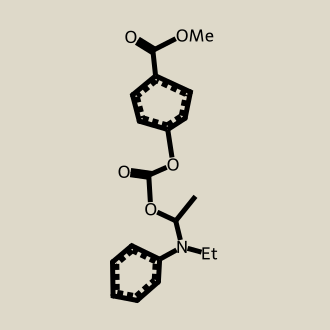 CCN(c1ccccc1)C(C)OC(=O)Oc1ccc(C(=O)OC)cc1